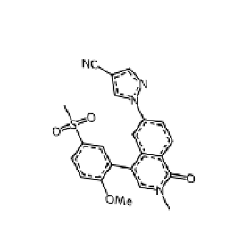 COc1ccc(S(C)(=O)=O)cc1-c1cn(C)c(=O)c2ccc(-n3cc(C#N)cn3)cc12